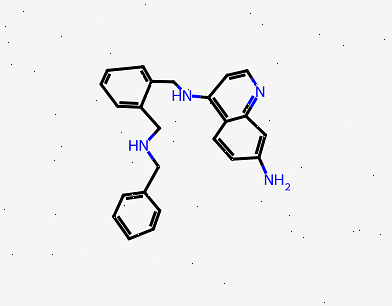 Nc1ccc2c(NCc3ccccc3CNCc3ccccc3)ccnc2c1